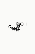 O=CC=CN1CCN(c2ncnc3c2CCN(c2cc(O)ccc2F)C3)CC1